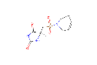 C[C@]1(CS(=O)(=O)N2CC=CCC2)NC(=O)NC1=O